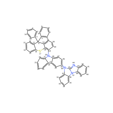 c1ccc(C2(c3ccccc3)c3ccccc3Sc3c(-n4c5ccccc5c5cc(-n6c7ccccc7n7c8ccccc8nc67)ccc54)cccc32)cc1